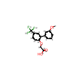 COc1cccc(-c2cc(C(F)(F)F)ccc2OCC(=O)O)c1